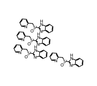 [O-][S+](Cc1ccccn1)c1nc2ccccc2[nH]1.[O-][S+](Cc1ccccn1)c1nc2ccccc2[nH]1.[O-][S+](Cc1ccccn1)c1nc2ccccc2[nH]1.[O-][S+](Cc1ccccn1)c1nc2ccccc2[nH]1